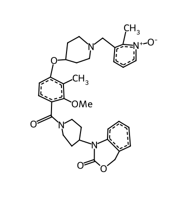 COc1c(C(=O)N2CCC(N3C(=O)OCc4ccccc43)CC2)ccc(OC2CCN(Cc3ccc[n+]([O-])c3C)CC2)c1C